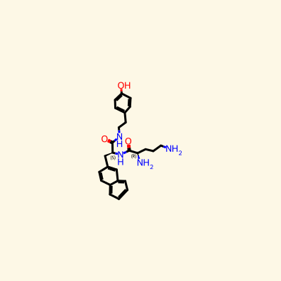 NCCC[C@@H](N)C(=O)N[C@@H](Cc1ccc2ccccc2c1)C(=O)NCCc1ccc(O)cc1